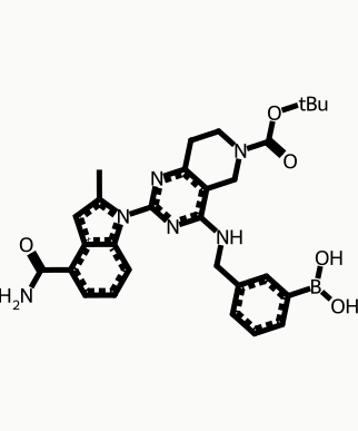 Cc1cc2c(C(N)=O)cccc2n1-c1nc2c(c(NCc3cccc(B(O)O)c3)n1)CN(C(=O)OC(C)(C)C)CC2